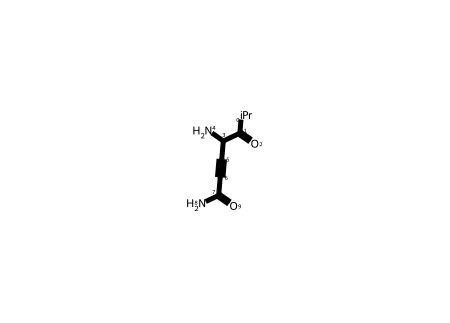 CC(C)C(=O)C(N)C#CC(N)=O